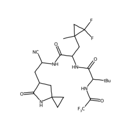 CC(C)(C)C(NC(=O)C(F)(F)F)C(=O)NC(CC1(C)CC1(F)F)C(=O)NC(C#N)CC1CC2(CC2)NC1=O